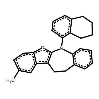 Cc1ccc2oc3c(c2c1)CCc1ccccc1N3c1cccc2c1CCCC2